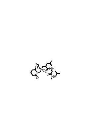 CCOP(=O)(CC(CC(C)C)C(=O)N[C@@H](CC(C)C)C(=O)NC)CN1C(=O)CCCC1=O